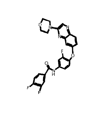 O=C(Nc1ccc(Oc2ccc3ncc(N4CCOCC4)nc3c2)c(F)c1)c1ccc(F)c(F)c1